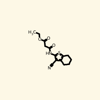 CCOC(=O)CC(=O)Nc1sc2c(c1C#N)CCCC2